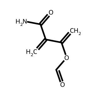 C=C(OC=O)C(=C)C(N)=O